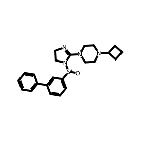 [O-][S+](c1cccc(-c2ccccc2)c1)N1CCN=C1N1CCN(C2CCC2)CC1